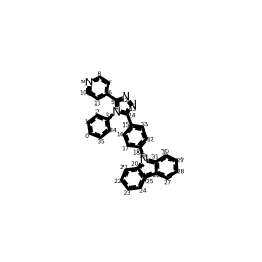 c1ccc(-n2c(-c3ccncc3)nnc2-c2ccc(-n3c4ccccc4c4ccccc43)cc2)cc1